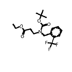 CCOC(=O)CCN(Cc1ccccc1C(F)(F)F)C(=O)OC(C)(C)C